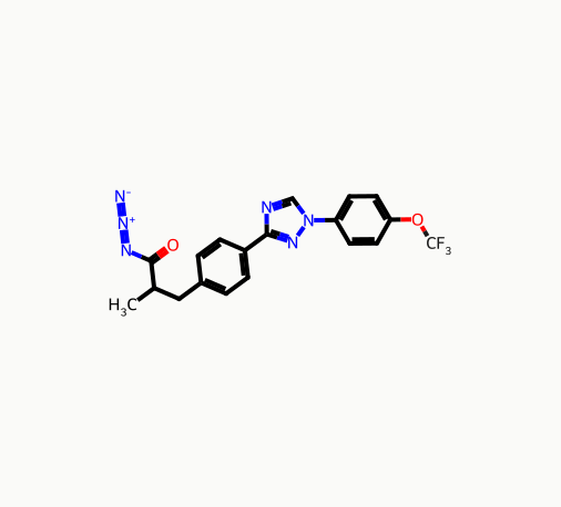 CC(Cc1ccc(-c2ncn(-c3ccc(OC(F)(F)F)cc3)n2)cc1)C(=O)N=[N+]=[N-]